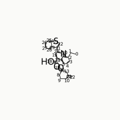 CCc1ccc(O[C@H]2CCC[C@H](C)C2)c2c(C(=O)O)cc(-c3csc4ccccc34)nc12